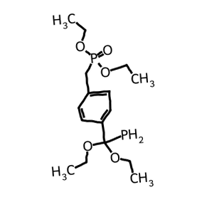 CCOC(P)(OCC)c1ccc(CP(=O)(OCC)OCC)cc1